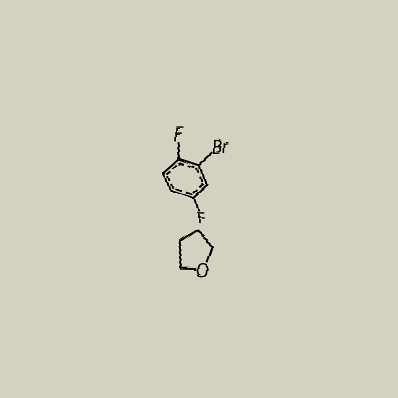 C1CCOC1.Fc1ccc(F)c(Br)c1